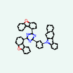 c1cc(-c2nc(-c3cccc4oc5ccccc5c34)nc(-c3cccc4oc5ccccc5c34)n2)cc(-n2c3ccccc3c3cc4ccccc4cc32)c1